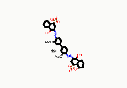 COc1cc(-c2ccc(N=Nc3cc(S(=O)(=O)[O-])c4ccccc4c3O)c(OC)c2)ccc1N=Nc1cc(S(=O)(=O)[O-])c2ccccc2c1O.[Na+].[Na+]